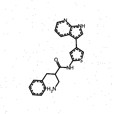 NCC(Cc1ccccc1)C(=O)Nc1cc(-c2c[nH]c3ncccc23)cs1